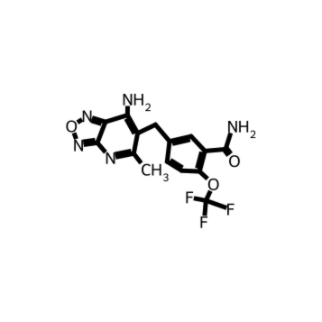 Cc1nc2nonc2c(N)c1Cc1ccc(OC(F)(F)F)c(C(N)=O)c1